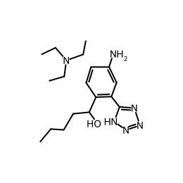 CCCCC(O)c1ccc(N)cc1-c1nnn[nH]1.CCN(CC)CC